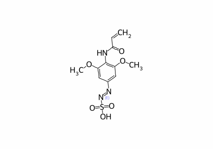 C=CC(=O)Nc1c(OC)cc(/N=N/S(=O)(=O)O)cc1OC